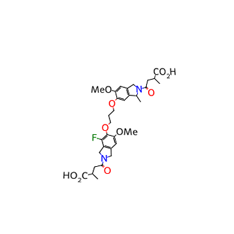 COc1cc2c(cc1OCCCOc1c(OC)cc3c(c1F)CN(C(=O)CC(C)C(=O)O)C3)C(C)N(C(=O)CC(C)C(=O)O)C2